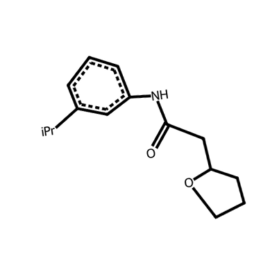 CC(C)c1cccc(NC(=O)CC2CCCO2)c1